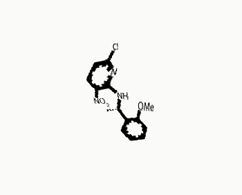 COc1ccccc1[C@H](C)Nc1nc(Cl)ccc1[N+](=O)[O-]